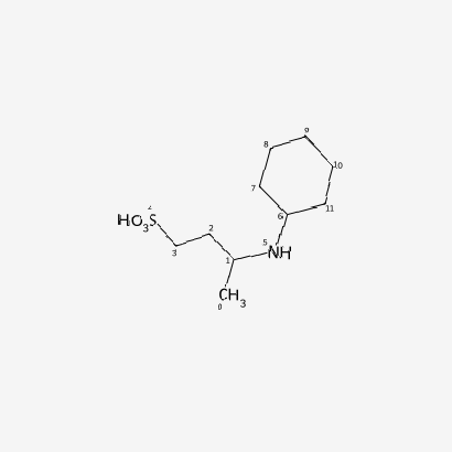 CC(CCS(=O)(=O)O)NC1CCCCC1